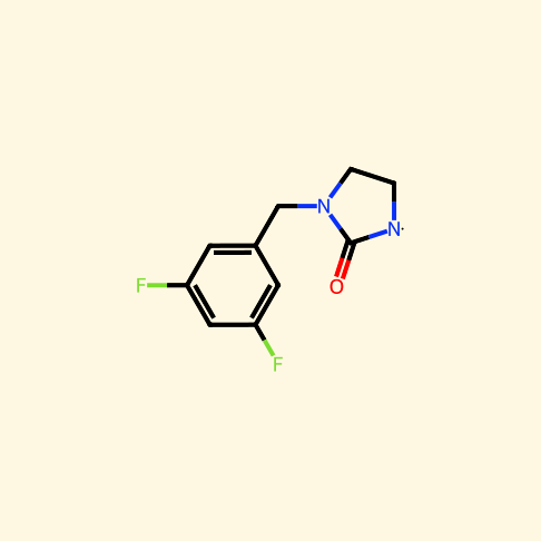 O=C1[N]CCN1Cc1cc(F)cc(F)c1